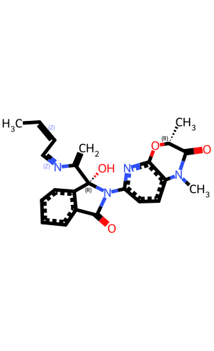 C=C(/N=C\C=C/C)[C@]1(O)c2ccccc2C(=O)N1c1ccc2c(n1)O[C@H](C)C(=O)N2C